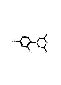 CC1CN(c2ccc(C(C)(C)C)cc2F)CC(C)O1